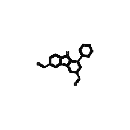 O=Cc1ccc2[nH]c3c(-c4ccccc4)cc(C=O)cc3c2c1